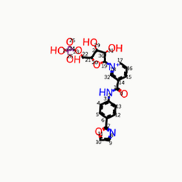 O=C(Nc1ccc(-c2ncco2)cc1)c1ccc[n+](C2OC(COP(=O)(O)O)[C@@H](O)[C@H]2O)c1